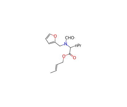 CC=CCOC(=O)C(CCC)N([C]=O)Cc1ccco1